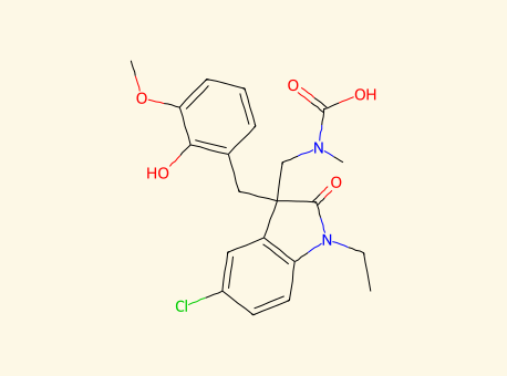 CCN1C(=O)C(Cc2cccc(OC)c2O)(CN(C)C(=O)O)c2cc(Cl)ccc21